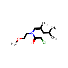 COCCN(C=C(C)CC(C)C)C(=O)CCl